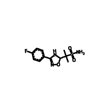 CC(C)(C1NC(c2ccc(F)cc2)=NO1)S(N)(=O)=O